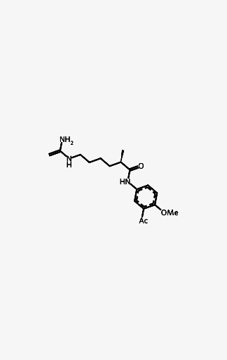 C=C(N)NCCCC[C@@H](C)C(=O)Nc1ccc(OC)c(C(C)=O)c1